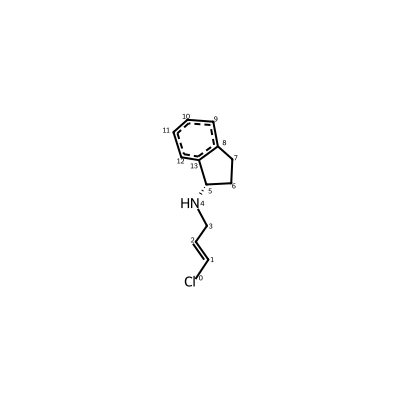 Cl/C=C/CN[C@H]1CCc2ccccc21